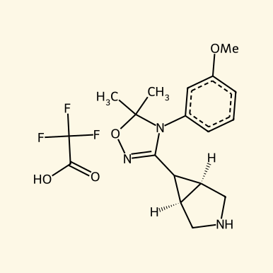 COc1cccc(N2C(C3[C@H]4CNC[C@@H]34)=NOC2(C)C)c1.O=C(O)C(F)(F)F